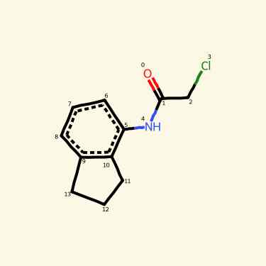 O=C(CCl)Nc1cccc2c1CCC2